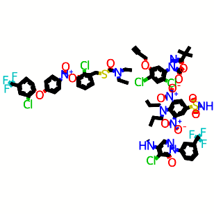 C#CCOc1cc(-n2nc(C(C)(C)C)oc2=O)c(Cl)cc1Cl.CCCN(CCC)c1c([N+](=O)[O-])cc(S(N)(=O)=O)cc1[N+](=O)[O-].CCN(CC)C(=O)SCc1ccccc1Cl.CNc1cnn(-c2cccc(C(F)(F)F)c2)c(=O)c1Cl.O=[N+]([O-])c1ccc(Oc2ccc(C(F)(F)F)cc2Cl)cc1